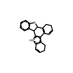 C1=CC2=C(CC1)C1Sc3ccccc3C1c1[nH]c3c(c12)CCC=C3